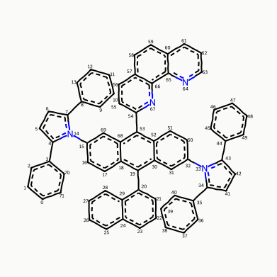 c1ccc(-c2ccc(-c3ccccc3)n2-c2ccc3c(-c4cccc5ccccc45)c4cc(-n5c(-c6ccccc6)ccc5-c5ccccc5)ccc4c(-c4ccc5ccc6cccnc6c5n4)c3c2)cc1